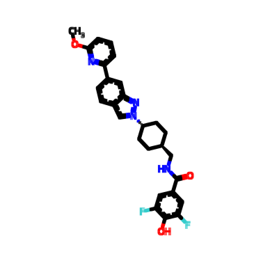 COc1cccc(-c2ccc3cn([C@H]4CC[C@H](CNC(=O)c5cc(F)c(O)c(F)c5)CC4)nc3c2)n1